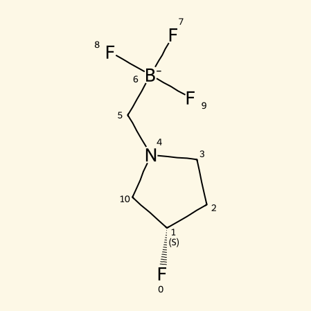 F[C@H]1CCN(C[B-](F)(F)F)C1